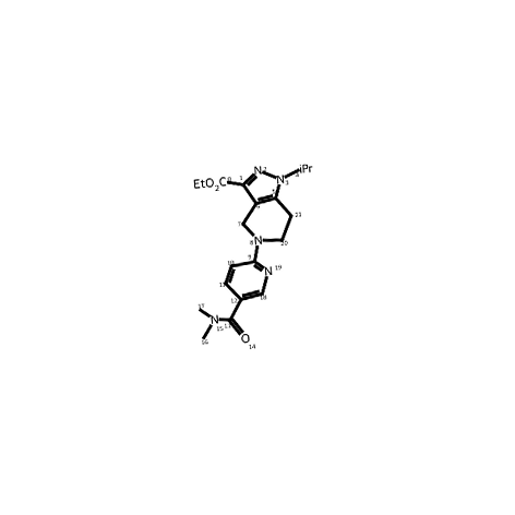 CCOC(=O)c1nn(C(C)C)c2c1CN(c1ccc(C(=O)N(C)C)cn1)CC2